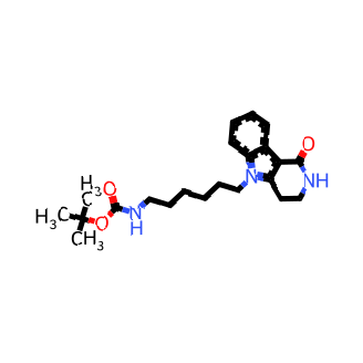 CC(C)(C)OC(=O)NCCCCCCn1c2c(c3ccccc31)C(=O)NCC2